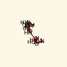 Cc1ncsc1-c1ccc(CNC(=O)[C@@H]2C[C@@H](O)CN2C(=O)[C@@H](NC(=O)CCCCCCCCCCNC(=O)CN2CCN(c3ccc(C(=O)NC(=N)c4cc(Cc5cc(F)cc(F)c5)ccc4N)c(NC4CCOCC4)c3)CC2)C(C)(C)C)cc1